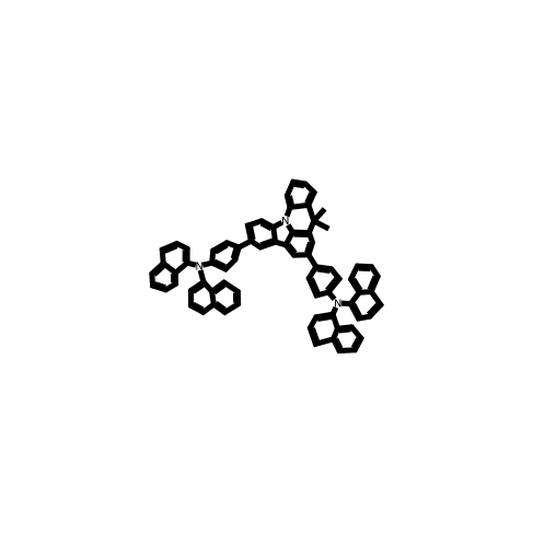 CC1(C)c2ccccc2-n2c3ccc(-c4ccc(N(c5cccc6ccccc56)c5cccc6ccccc56)cc4)cc3c3cc(-c4ccc(N(c5cccc6ccccc56)c5cccc6ccccc56)cc4)cc1c32